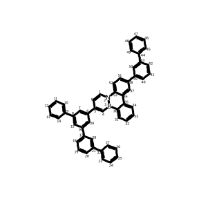 C1=CN2B(C=C1c1cc(-c3ccccc3)cc(-c3cccc(-c4ccccc4)c3)c1)c1ccccc1-c1cc(-c3cccc(-c4ccccc4)c3)ccc12